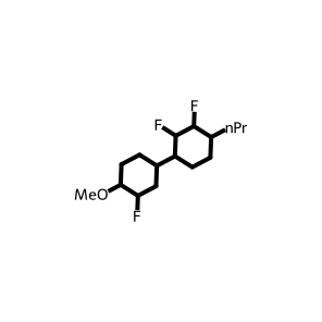 CCCC1CCC(C2CCC(OC)C(F)C2)C(F)C1F